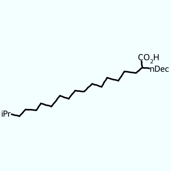 CCCCCCCCCCC(CCCCCCCCCCCCCCCC(C)C)C(=O)O